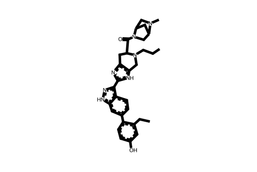 CCCN1Cc2[nH]c(-c3n[nH]c4cc(-c5ccc(O)cc5CC)ccc34)nc2CC1C(=O)N1CC2CC1CN2C